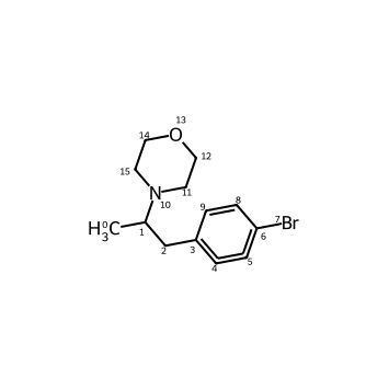 CC(CC1=C=C=C(Br)C=C1)N1CCOCC1